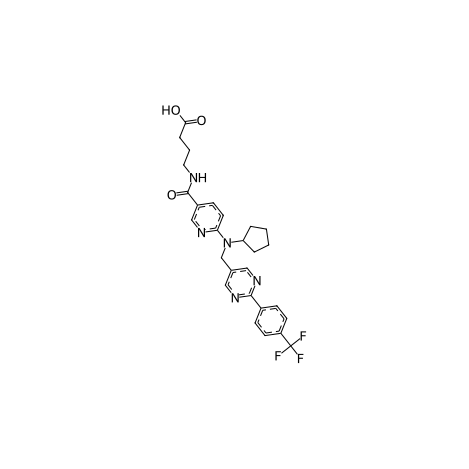 O=C(O)CCCNC(=O)c1ccc(N(Cc2cnc(-c3ccc(C(F)(F)F)cc3)nc2)C2CCCC2)nc1